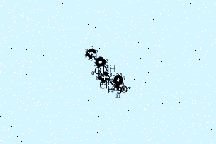 COc1cc(N2CC[CH]CC2)ccc1Nc1ncc(Cl)c(Nc2ccccc2N(C)[S+](C)[O-])n1